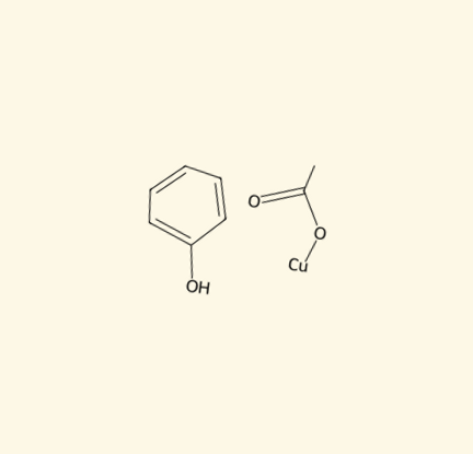 CC(=O)[O][Cu].Oc1ccccc1